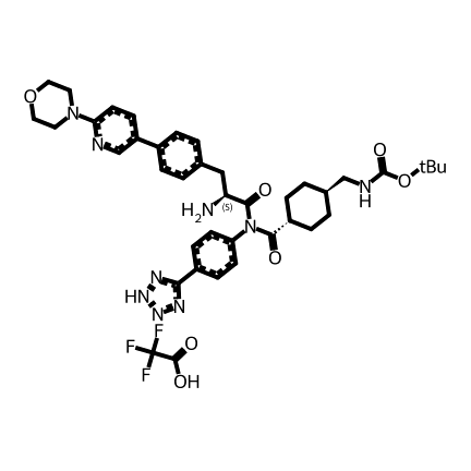 CC(C)(C)OC(=O)NC[C@H]1CC[C@H](C(=O)N(C(=O)[C@@H](N)Cc2ccc(-c3ccc(N4CCOCC4)nc3)cc2)c2ccc(-c3nn[nH]n3)cc2)CC1.O=C(O)C(F)(F)F